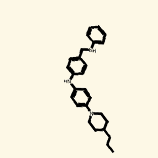 CCCC1CCN(c2ccc(Nc3ccc(CNc4ccccc4)cc3)cc2)CC1